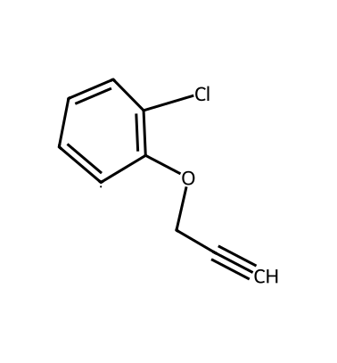 C#CCOc1[c]cccc1Cl